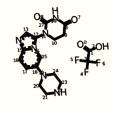 O=C(O)C(F)(F)F.O=C1CCN(c2cnc3ccc(N4CCNCC4)cn23)C(=O)N1